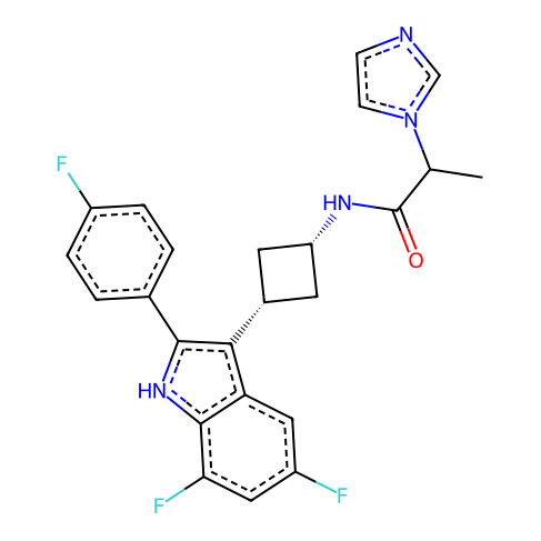 CC(C(=O)N[C@H]1C[C@@H](c2c(-c3ccc(F)cc3)[nH]c3c(F)cc(F)cc32)C1)n1ccnc1